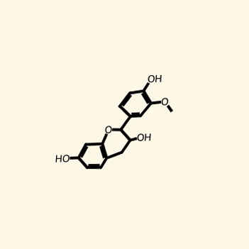 COc1cc(C2Oc3cc(O)ccc3CC2O)ccc1O